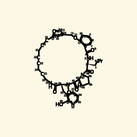 CC(C)C[C@H]1NC(=O)c2ccccc2OCc2noc(n2)CCCCCCCCNC(=O)[C@H](Cc2cccnc2O)N(C)C(=O)[C@H]2CCCN2C1=O